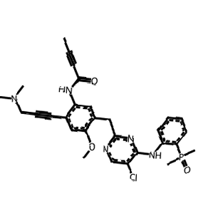 CC#CC(=O)Nc1cc(Cc2ncc(Cl)c(Nc3ccccc3P(C)(C)=O)n2)c(OC)cc1C#CCN(C)C